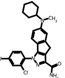 CN(c1ccc2c(c1)Cc1c(C(N)=O)nn(-c3ccc(Cl)cc3Cl)c1-2)C1CCCCC1